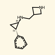 c1ccc([C@@H]2C[C@H]2NCC2CNC2)cc1